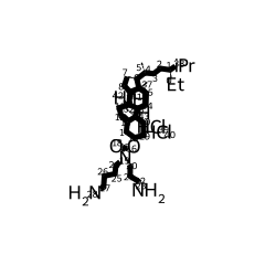 CC[C@H](CC[C@@H](C)[C@H]1CC[C@H]2[C@@H]3CC=C4C[C@@H](OC(=O)N(CCCN)CCCCN)CC[C@]4(C)[C@H]3CC[C@]12C)C(C)C.Cl.Cl